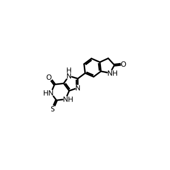 O=C1Cc2ccc(-c3nc4[nH]c(=S)[nH]c(=O)c4[nH]3)cc2N1